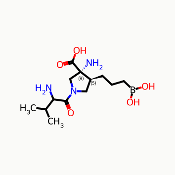 CC(C)C(N)C(=O)N1C[C@H](CCCB(O)O)[C@](N)(C(=O)O)C1